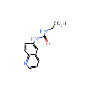 O=C(O)CNC(=O)Nc1ccc2ncccc2c1